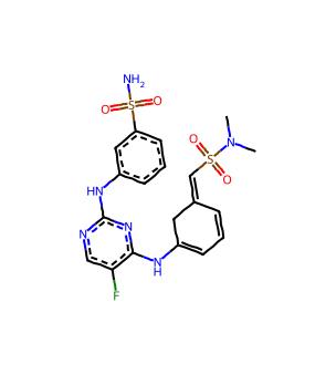 CN(C)S(=O)(=O)/C=C1\C=CC=C(Nc2nc(Nc3cccc(S(N)(=O)=O)c3)ncc2F)C1